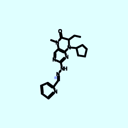 CCC1C(=O)N(C)c2cnc(N/N=C/c3ccccn3)nc2N1C1CCCC1